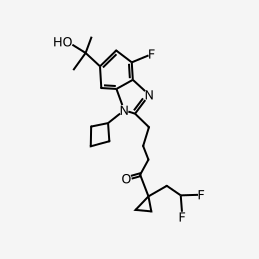 CC(C)(O)c1cc(F)c2nc(CCCC(=O)C3(CC(F)F)CC3)n(C3CCC3)c2c1